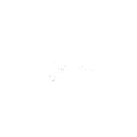 CC(C)(C)OC(=O)N1CCC(C/C=C(\NC(=O)OCc2ccccc2)C(=O)O)CC1